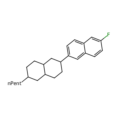 CCCCCC1CCC2CC(c3ccc4cc(F)ccc4c3)CCC2C1